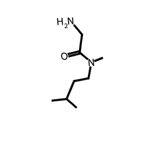 CC(C)CCN(C)C(=O)CN